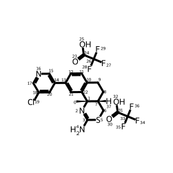 C[C@]12N=C(N)SC[C@H]1CCc1ccc(-c3cncc(Cl)c3)cc12.O=C(O)C(F)(F)F.O=C(O)C(F)(F)F